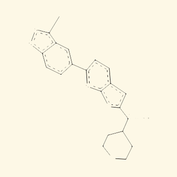 Cc1n[nH]c2ccc(-c3ccc4cc([C@H](O)C5CCOCC5)sc4n3)cc12